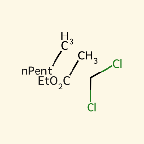 CCCCCC.CCOC(C)=O.ClCCl